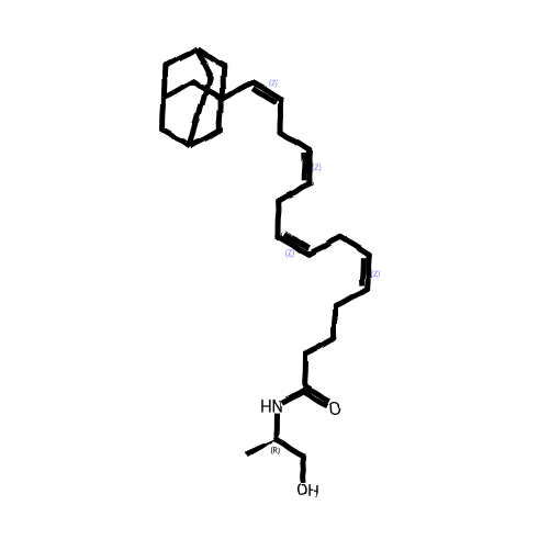 C[C@H](CO)NC(=O)CCC/C=C\C/C=C\C/C=C\C/C=C\C12CC3CC(CC(C3)C1)C2